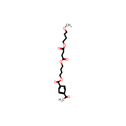 COCCCCOC(=O)CCC(=O)OCCCCOC(=O)c1ccc(C(C)=O)cc1